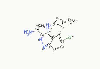 C=C(N)c1nnc2ccc(Cl)cc2c1NC1CC(OC)C1